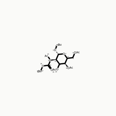 CCCCO[C@@H]1OC(COC(C)=O)[C@@H](OC(C)=O)C(OC(C)=O)[C@H]1N(C(C)=O)C(=O)OC(C)(C)C